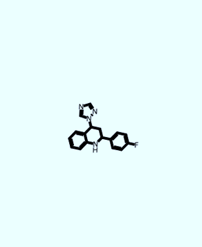 Fc1ccc(C2CC(n3cncn3)c3ccccc3N2)cc1